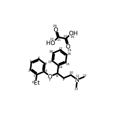 CCc1ccccc1OC(CCN(C)C)c1ccccc1.O=C(O)C(=O)O